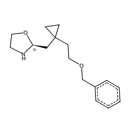 c1ccc(COCCC2(C[C@H]3NCCO3)CC2)cc1